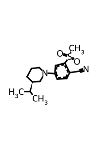 CC(C)[C@H]1CCCN(c2ccc(C#N)c(S(C)(=O)=O)c2)C1